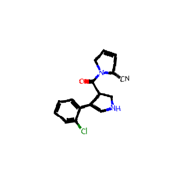 N#CC1C=CCN1C(=O)C1CNCC1c1ccccc1Cl